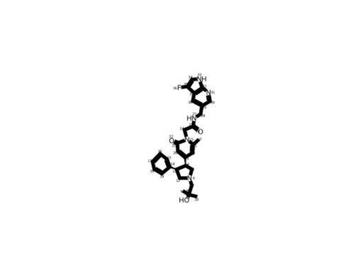 Cc1cc([C@H]2CN(CC(C)(C)O)C[C@H]2c2ccccc2)cc(=O)n1CC(=O)NCc1cnc2[nH]cc(F)c2c1